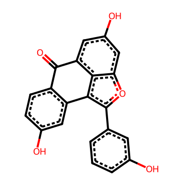 O=C1c2ccc(O)cc2-c2c(-c3cccc(O)c3)oc3cc(O)cc1c23